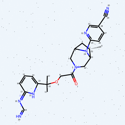 C[C@H]1CC2CN(C(=O)COC(C)(C)c3ccc/c(=N/C=N)[nH]3)CC1N2c1ccc(C#N)cn1